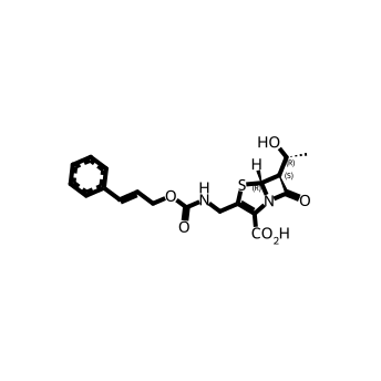 C[C@@H](O)[C@H]1C(=O)N2C(C(=O)O)=C(CNC(=O)OCC=Cc3ccccc3)S[C@H]12